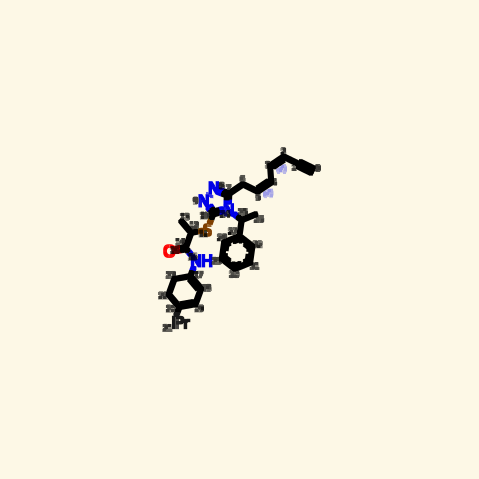 C#C/C=C\C=C/Cc1nnc(SC(C)C(=O)NC2=CC=C(C(C)C)CC2)n1C(C)c1ccccc1